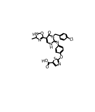 CC1N=C(c2c[nH]/c(=N\c3ccc(Oc4ncc(C(=O)O)s4)cc3)n(Cc3ccc(Cl)cc3)c2=O)ON1